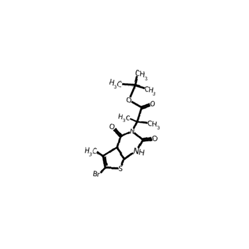 CC1=C(Br)SC2NC(=O)N(C(C)(C)C(=O)OC(C)(C)C)C(=O)C12